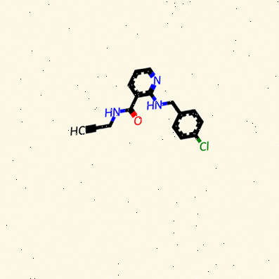 C#CCNC(=O)c1cccnc1NCc1ccc(Cl)cc1